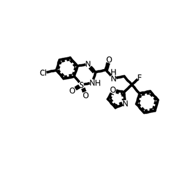 O=C(NCC(F)(c1ccccc1)c1ncco1)C1=Nc2ccc(Cl)cc2S(=O)(=O)N1